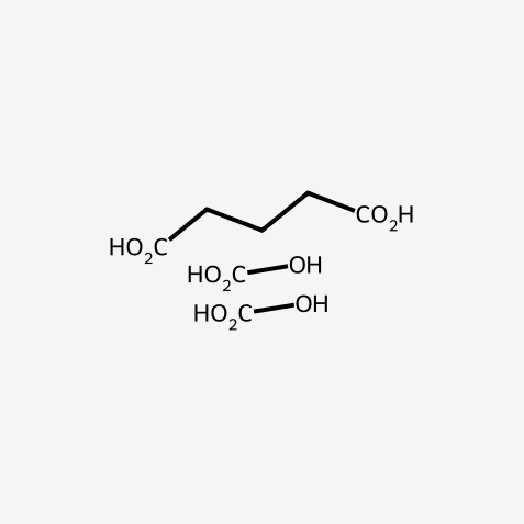 O=C(O)CCCC(=O)O.O=C(O)O.O=C(O)O